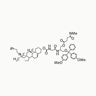 CNC(=O)CCC(=O)OCC(COC(c1ccccc1)(c1ccc(OC)cc1)c1ccc(OC)cc1)NC(=O)CNC(=O)O[C@H]1CC[C@@]2(C)C(=CCC3C2CC[C@@]2(C)C3CC[C@@H]2[C@H](C)CCCC(C)C)C1